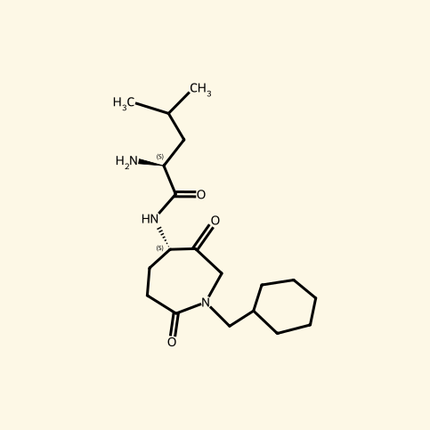 CC(C)C[C@H](N)C(=O)N[C@H]1CCC(=O)N(CC2CCCCC2)CC1=O